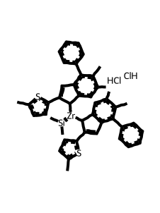 Cc1ccc(C2=Cc3c(cc(C)c(C)c3-c3ccccc3)[CH]2[Zr]([CH]2C(c3ccc(C)s3)=Cc3c2cc(C)c(C)c3-c2ccccc2)=[Si](C)C)s1.Cl.Cl